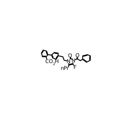 CCCc1c(F)n(C(=O)Cc2ccccc2)c(=O)n1CCc1ccc(-c2ccccc2C(=O)O)cc1